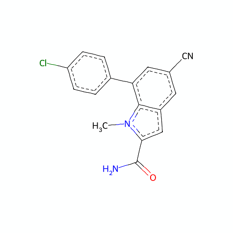 Cn1c(C(N)=O)cc2cc(C#N)cc(-c3ccc(Cl)cc3)c21